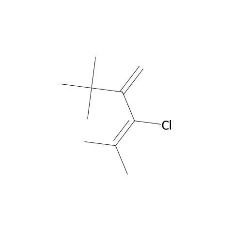 C=C(C(Cl)=C(C)C)C(C)(C)C